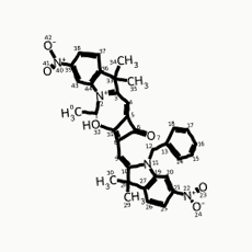 CC[N+]1=C(/C=C2/C(=O)C(/C=C3\N(Cc4ccccc4)c4cc([N+](=O)[O-])ccc4C3(C)C)=C2O)C(C)(C)c2ccc([N+](=O)[O-])cc21